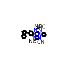 [C-]#[N+]c1nc2c(nc1[N+]#[C-])N(c1ccc(-c3cccc4ccccc34)cc1)c1nc(C#N)c(C#N)nc1N2c1ccccc1